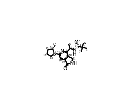 CC(N[S@+]([O-])C(C)(C)C)c1nc(N2CCC[C@H]2C)cc2c1CNC2=O